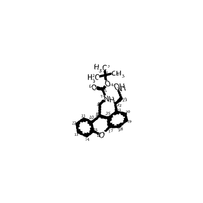 CC(C)(C)OC(=O)NCC1c2ccccc2Oc2cccc(CCO)c21